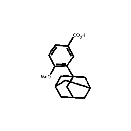 COc1ccc(C(=O)O)cc1C12CC3CC(CC(C3)C1)C2